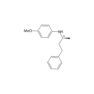 COc1ccc(N[C@@H](C)CCc2ccccc2)cc1